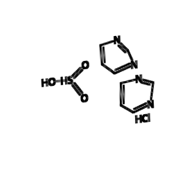 Cl.O=[SH](=O)O.c1cncnc1.c1cncnc1